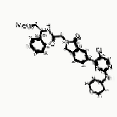 COC[C@@H](NC(=O)CN1Cc2ccc(-c3nc(NC4CCOCC4)ncc3Cl)cc2C1=O)c1ccccc1